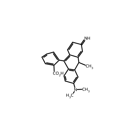 CC1C2=CC(=N)C=CC2=C(c2ccccc2C(=O)O)c2ccc(N(C)C)cc21